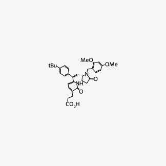 COc1ccc(CN2C(=O)CC[C@@H]2C=C(c2ccc(C(C)(C)C)cc2)c2ccc(CCC(=O)O)c(=O)[nH]2)c(OC)c1